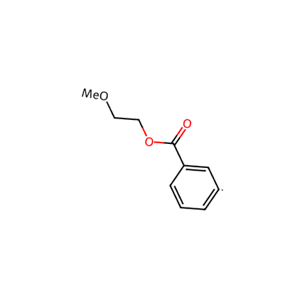 COCCOC(=O)c1c[c]ccc1